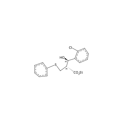 CCOC(=O)[C@H](CSc1ccccc1)[C@@H](O)c1ccccc1Cl